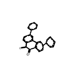 O=C1C(=O)c2ccc(-c3ccccc3)cc2-c2cc(-c3ccccc3)ccc21